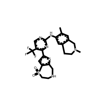 Cc1cc2c(cc1Nc1ncc(C(F)(F)F)c(-c3cc4c(s3)CNCCS4(=O)=O)n1)CCN(C)C2